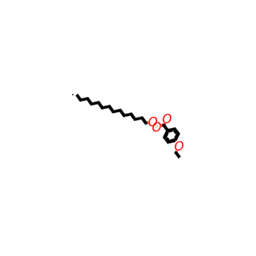 [CH2]CCCCCCCCCCCCCOOC(=O)c1ccc(OCC)cc1